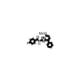 COc1ccc(-c2ccccc2)c2nc(NC(=O)c3ccc(F)cc3)nn12